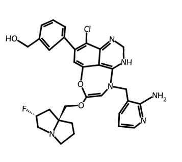 Nc1ncccc1CN1C=C(OC[C@@]23CCCN2C[C@H](F)C3)Oc2cc(-c3cccc(CO)c3)c(Cl)c3c2=C1NCN=3